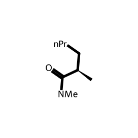 CCCC[C@@H](C)C(=O)NC